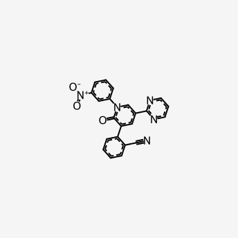 N#Cc1ccccc1-c1cc(-c2ncccn2)cn(-c2cccc([N+](=O)[O-])c2)c1=O